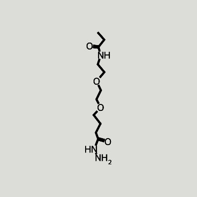 CCC(=O)NCCOCCOCCCC(=O)NN